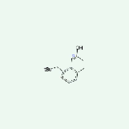 C/C(O)=C\c1c(C)cccc1CC(C)(C)C